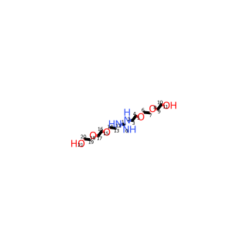 N=C(NCCOCCOCCO)NCCOCCOCCO